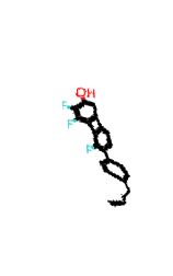 C=CCCc1ccc(-c2ccc3c(c2F)-c2c-3cc(O)c(F)c2F)cc1